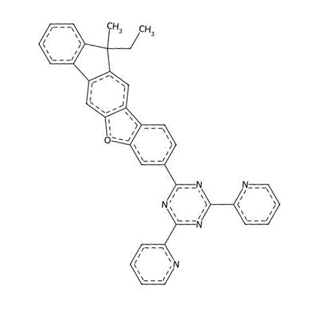 CCC1(C)c2ccccc2-c2cc3oc4cc(-c5nc(-c6ccccn6)nc(-c6ccccn6)n5)ccc4c3cc21